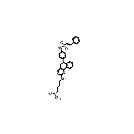 CN(C)CCCCNc1ncc2c(n1)-c1ccccc1C(c1ccc(NS(=O)(=O)C=Cc3ccccc3)cc1)C2